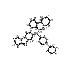 c1ccc(-c2ccc(N(c3ccc4c(c3)oc3ccncc34)c3cc4ccccc4c4ccccc34)cc2)cc1